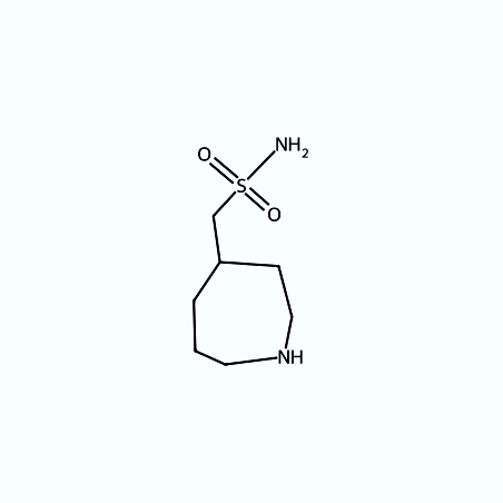 NS(=O)(=O)CC1CCCNCC1